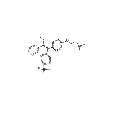 CC/C(=C(\c1ccc(OCCN(C)C)cc1)c1ccc([B-](F)(F)F)cc1)c1ccccc1